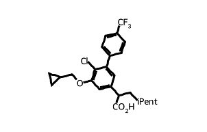 CCCC(C)CC(C(=O)O)c1cc(OCC2CC2)c(Cl)c(-c2ccc(C(F)(F)F)cc2)c1